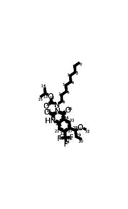 CCCCCCCCCN(C(=O)OC(C)C)n1c(=O)[nH]c2cc(C(F)(F)F)c(C(CC)OC)cc2c1=O